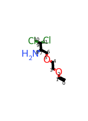 C=COCCOCC(N)C(Cl)Cl